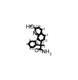 CC(C(N)=O)(c1ccccc1)c1ccc2ccc(O)nc2c1